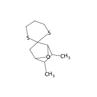 CC1C2CC3(SCCCS3)C(O2)C1C